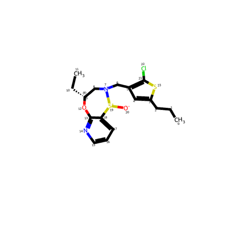 CCCc1cc(CN2C[C@@H](CC)Oc3ncccc3[S+]2[O-])c(Cl)s1